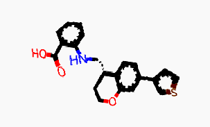 O=C(O)c1ccccc1NC[C@H]1CCOc2cc(-c3ccsc3)ccc21